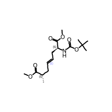 COC(=O)[C@H](C/C=C/C[C@H](C)C(=O)OC)NC(=O)OC(C)(C)C